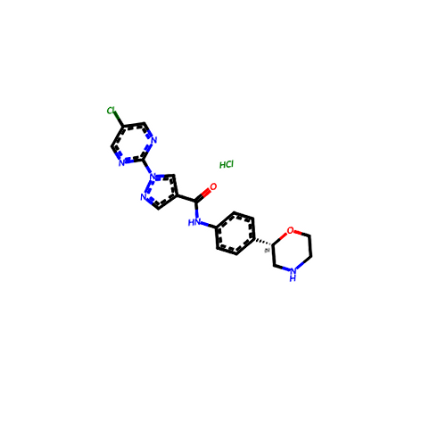 Cl.O=C(Nc1ccc([C@H]2CNCCO2)cc1)c1cnn(-c2ncc(Cl)cn2)c1